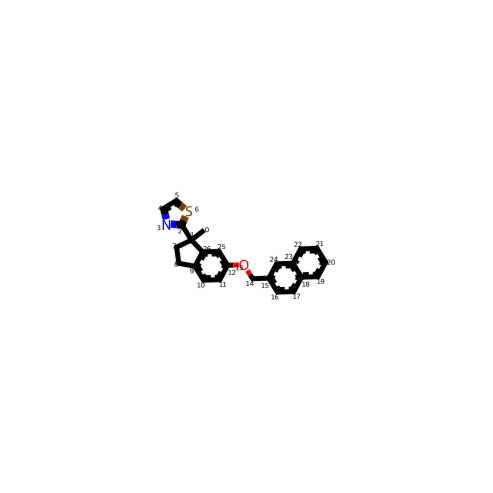 CC1(c2nccs2)CCc2ccc(OCc3ccc4ccccc4c3)cc21